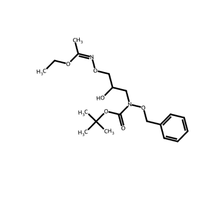 CCOC(C)=NOCC(O)CN(OCc1ccccc1)C(=O)OC(C)(C)C